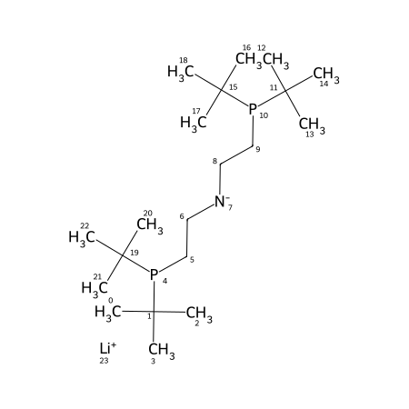 CC(C)(C)P(CC[N-]CCP(C(C)(C)C)C(C)(C)C)C(C)(C)C.[Li+]